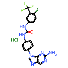 Cl.Nc1ncc2ncn(-c3ccc(NC(=O)Nc4ccc(Cl)c(C(F)(F)F)c4)cc3)c2n1